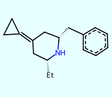 CC[C@@H]1CC(=C2CC2)C[C@H](Cc2ccccc2)N1